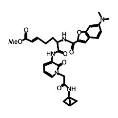 COC(=O)/C=C/CCC(NC(=O)c1cc2ccc(N(C)C)cc2o1)C(=O)Nc1cccn(CC(=O)NC23CC(C2)C3)c1=O